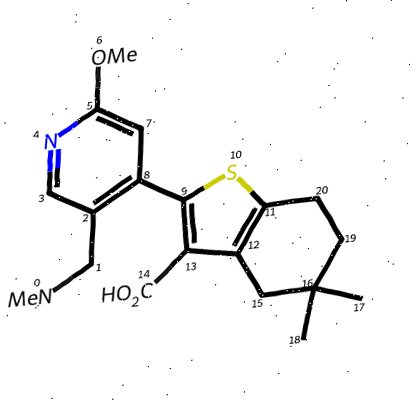 CNCc1cnc(OC)cc1-c1sc2c(c1C(=O)O)CC(C)(C)CC2